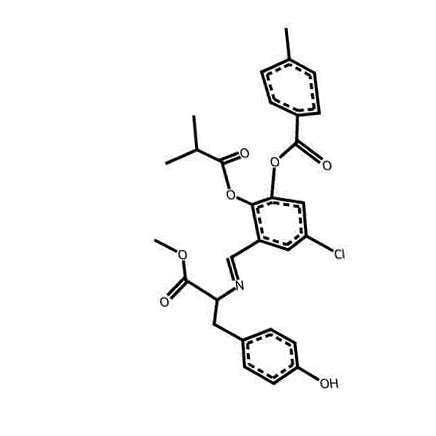 COC(=O)C(Cc1ccc(O)cc1)N=Cc1cc(Cl)cc(OC(=O)c2ccc(C)cc2)c1OC(=O)C(C)C